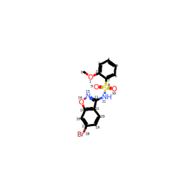 COc1ccccc1S(=O)(=O)Nc1noc2cc(Br)ccc12